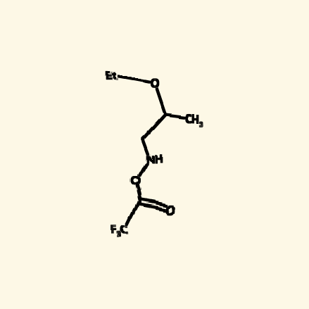 CCOC(C)CNOC(=O)C(F)(F)F